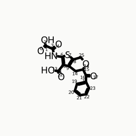 O=C(O)C(=O)Nc1sc2c(c1C(=O)O)CC(C(=O)c1ccccc1)OC2